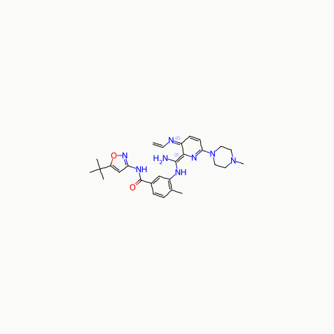 C=C/N=C1/C=CC(N2CCN(C)CC2)=N/C1=C(/N)Nc1cc(C(=O)Nc2cc(C(C)(C)C)on2)ccc1C